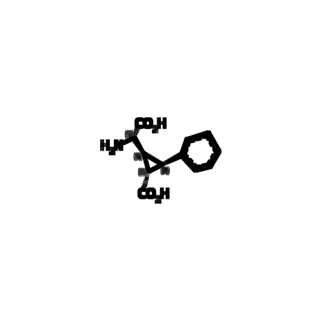 N[C@H](C(=O)O)[C@@H]1[C@@H](C(=O)O)[C@@H]1c1ccccc1